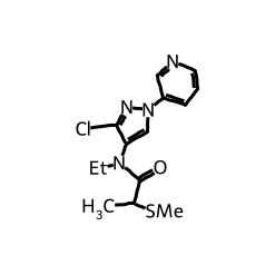 CCN(C(=O)C(C)SC)c1cn(-c2cccnc2)nc1Cl